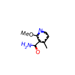 COc1nccc(C)c1C(N)=O